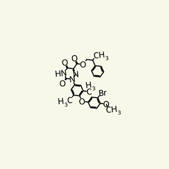 COc1ccc(Oc2c(C)cc(-n3nc(C(=O)OCC(C)c4ccccc4)c(=O)[nH]c3=O)cc2C)cc1Br